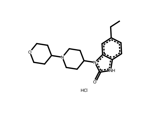 CCc1ccc2[nH]c(=O)n(C3CCN(C4CCOCC4)CC3)c2c1.Cl